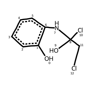 Oc1ccccc1NC(O)(Cl)CCl